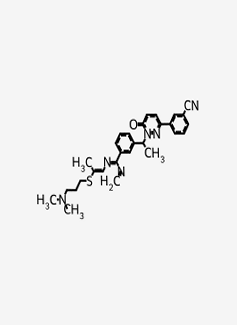 C=N/C(=N\C=C(/C)SCCCN(C)C)c1cccc(C(C)n2nc(-c3cccc(C#N)c3)ccc2=O)c1